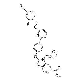 COC(=O)c1ccc2nc(Oc3ccc(-c4cccc(OCc5ccc(C#N)cc5F)n4)cc3)n(C[C@@H]3CCO3)c2c1